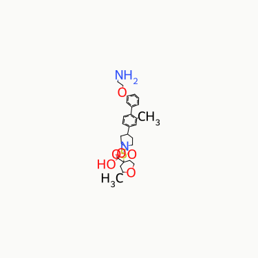 Cc1cc(C2CCN(S(=O)(=O)C3(C(=O)O)CCOC(C)C3)CC2)ccc1-c1cccc(OCCN)c1